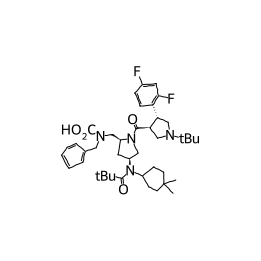 CC1(C)CCC(N(C(=O)C(C)(C)C)[C@H]2C[C@@H](CN(Cc3ccccc3)C(=O)O)N(C(=O)[C@@H]3CN(C(C)(C)C)C[C@H]3c3ccc(F)cc3F)C2)CC1